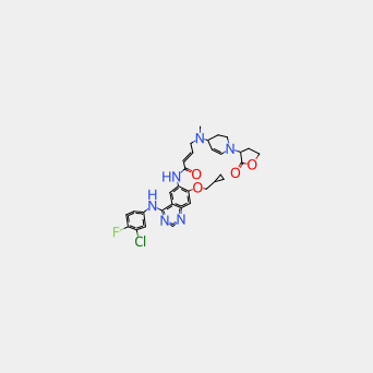 CN(CC=CC(=O)Nc1cc2c(Nc3ccc(F)c(Cl)c3)ncnc2cc1OCC1CC1)C1C=CN(C2CCOC2=O)CC1